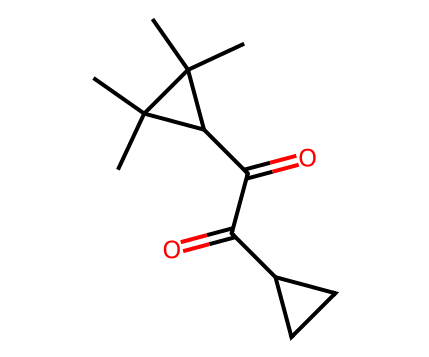 CC1(C)C(C(=O)C(=O)C2CC2)C1(C)C